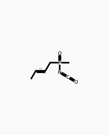 C/C=C/CP(C)(=O)N=C=O